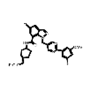 CCOC(=O)CC1CCC(NC(=O)c2cc(Cl)cc3cnn(Cc4cnc(-c5cc(F)cc(OC)c5)nc4)c23)CC1